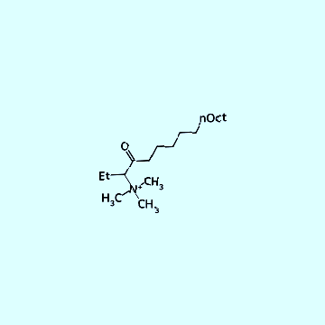 CCCCCCCCCCCCCC(=O)C(CC)[N+](C)(C)C